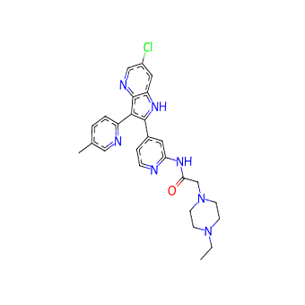 CCN1CCN(CC(=O)Nc2cc(-c3[nH]c4cc(Cl)cnc4c3-c3ccc(C)cn3)ccn2)CC1